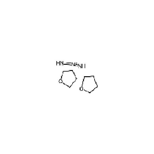 C1CCOC1.C1CCOC1.N=[N+]=N